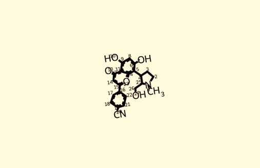 CN1CCC(c2c(O)cc(O)c3c(=O)cc(-c4ccc(C#N)cc4)oc23)C1CO